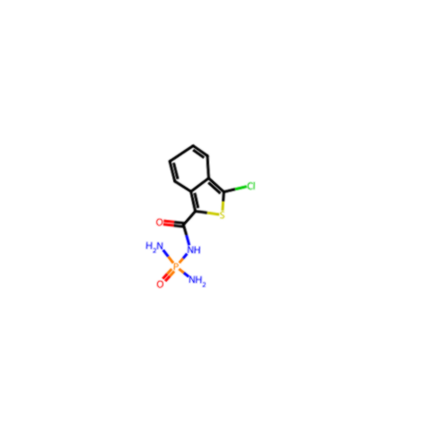 NP(N)(=O)NC(=O)c1sc(Cl)c2ccccc12